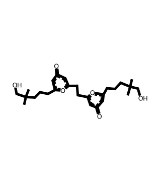 CC(C)(CO)CCCc1cc(=O)cc(CCc2cc(=O)cc(CCCC(C)(C)CO)o2)o1